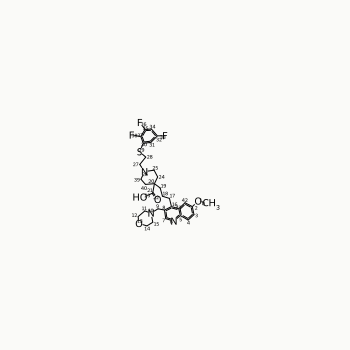 COc1ccc2ncc(CN3CCOCC3)c(CCCC3(C(=O)O)CCN(CCSc4cc(F)cc(F)c4F)CC3)c2c1